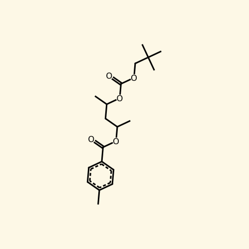 Cc1ccc(C(=O)OC(C)CC(C)OC(=O)OCC(C)(C)C)cc1